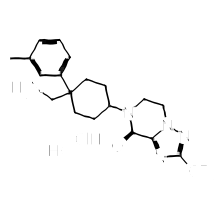 Cc1cccc(C2(CN)CCC(N3CCn4nc(C(F)(F)F)nc4C3=O)CC2)c1.Cl.Cl